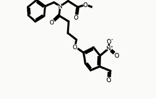 COC(=O)CN(Cc1ccccc1)C(=O)CCCOc1ccc(C=O)c([N+](=O)[O-])c1